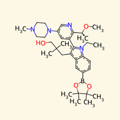 CCn1c(-c2cc(N3CCN(C)CC3)cnc2[C@H](C)OC)c(CC(C)(C)CO)c2cc(B3OC(C)(C)C(C)(C)O3)ccc21